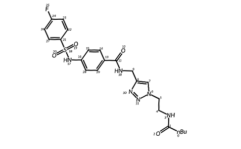 CCCCC(=O)NCCn1cc(CNC(=O)c2ccc(NS(=O)(=O)c3ccc(F)cc3)cc2)nn1